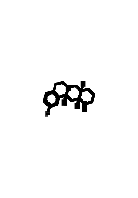 Fc1ccc2c(c1)[C@H]1C[C@H]3NCCC[C@H]3CN1CC2